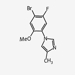 COc1cc(Br)c(F)cc1-n1cnc(C)c1